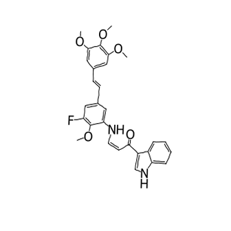 COc1cc(/C=C/c2cc(F)c(OC)c(N/C=C\C(=O)c3c[nH]c4ccccc34)c2)cc(OC)c1OC